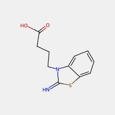 N=c1sc2ccccc2n1CCCC(=O)O